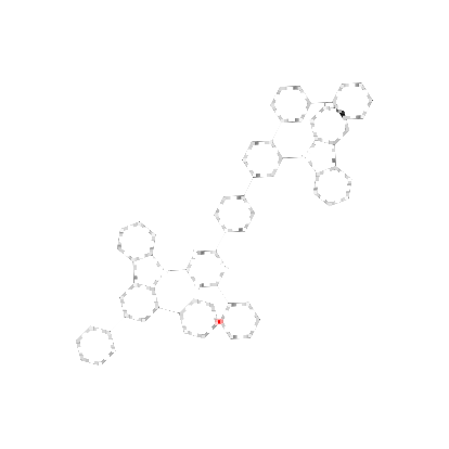 c1ccc(-c2cccc(-c3ccc(-c4ccc(-c5nc(-c6ccccc6)nc(-n6c7ccccc7c7cc(-c8ccccc8)cc(-c8ccccc8)c76)n5)cc4)cc3-n3c4ccccc4c4ccccc43)c2)cc1